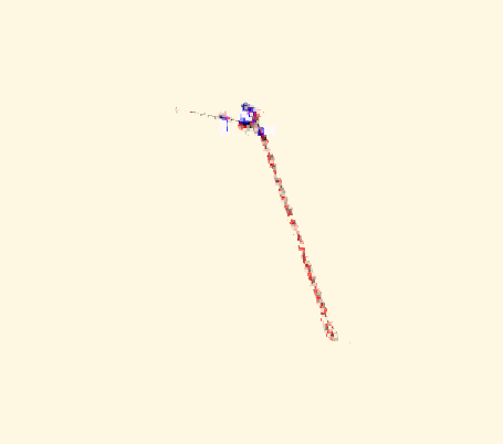 CCCCCCCCCCCCCCCC(=O)NCCCCCC(=O)N[C@H](C(=O)N[C@@H](CCCCNC(=O)CCOCCOCCOCCOCCOCCOCCOCCOCCOCCOCCOCCOCCOCCOCCOCCOCCOCCOCCOCCOCCOCCOCCOCCOC)C(=O)N1CCN(C)CC1)[C@@H](C)CC